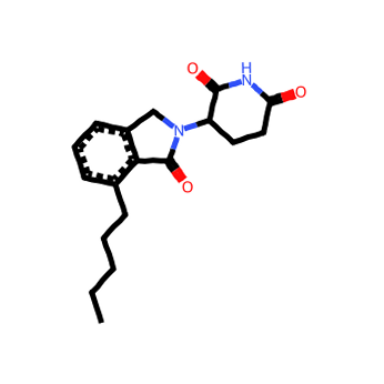 CCCCCc1cccc2c1C(=O)N(C1CCC(=O)NC1=O)C2